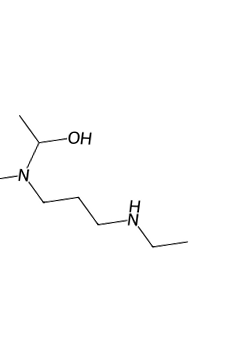 CCNCCCN(C)C(C)O